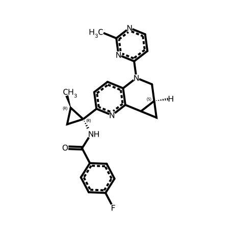 Cc1nccc(N2C[C@H]3CC3c3nc([C@@]4(NC(=O)c5ccc(F)cc5)C[C@H]4C)ccc32)n1